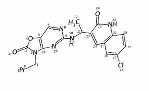 CC(C)Cn1c(=O)oc2cnc(NC(C)c3cc4cc(Cl)ccc4[nH]c3=O)nc21